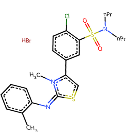 Br.CCCN(CCC)S(=O)(=O)c1cc(-c2csc(=Nc3ccccc3C)n2C)ccc1Cl